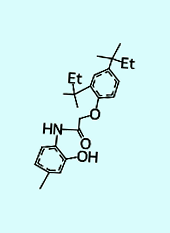 CCC(C)(C)c1ccc(OCC(=O)Nc2ccc(C)cc2O)c(C(C)(C)CC)c1